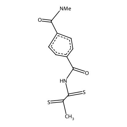 CNC(=O)c1ccc(C(=O)NC(=S)C(C)=S)cc1